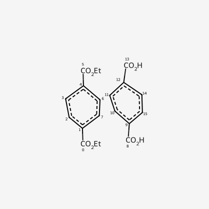 CCOC(=O)c1ccc(C(=O)OCC)cc1.O=C(O)c1ccc(C(=O)O)cc1